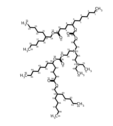 CCCCCCCC(CCCC(=O)OCC(CCCCC)CCCCC)OC(=O)OCCN(CCOC(=O)OC(CCCCCCC)CCCC(=O)OCC(CCCCC)CCCCC)CCN(CC)CC